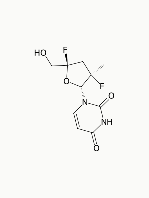 C[C@@]1(F)C[C@@](F)(CO)O[C@H]1n1ccc(=O)[nH]c1=O